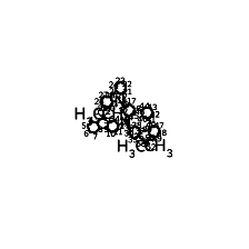 CC1(C)c2ccccc2-c2ccc(N(c3cccc(-n4c5ccccc5c5ccccc54)c3)c3ccc4c(c3)-c3c(-c5ccccc5)cccc3C4(C)C)cc21